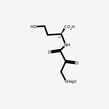 CCCCCCCCC(=O)C(=O)N[C@@H](CCO)C(=O)O